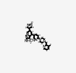 Cc1cccnc1CN1CCN(c2ccc(-c3cc(-c4cnn(C)c4)cn4nc(N)c(C#N)c34)cn2)CC1